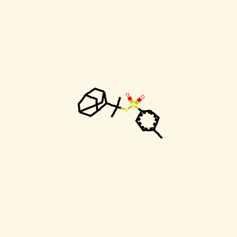 Cc1ccc(S(=O)(=O)SC(C)(C)C2C3CC4CC(C3)CC2C4)cc1